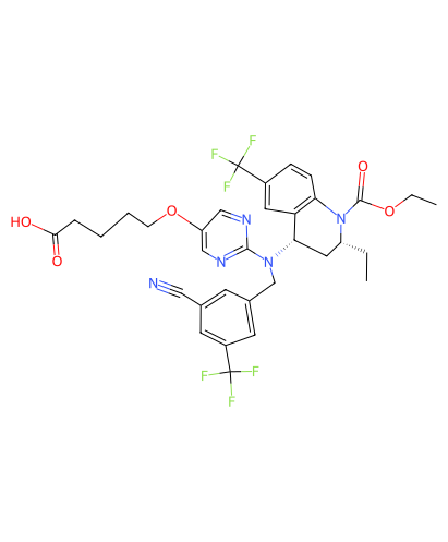 CCOC(=O)N1c2ccc(C(F)(F)F)cc2[C@@H](N(Cc2cc(C#N)cc(C(F)(F)F)c2)c2ncc(OCCCCC(=O)O)cn2)C[C@H]1CC